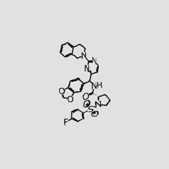 O=C(NC(c1ccc2c(c1)OCO2)c1ccnc(N2CCc3ccccc3C2)n1)[C@@H]1CCCN1S(=O)(=O)c1ccc(F)cc1